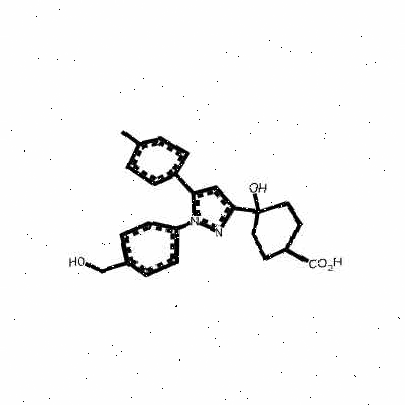 Cc1ccc(-c2cc(C3(O)CCC(C(=O)O)CC3)nn2-c2ccc(CO)cc2)cc1